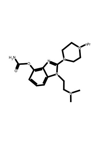 CCCN1CCN(c2nc3c(OC(N)=O)cccc3n2CCN(C)C)CC1